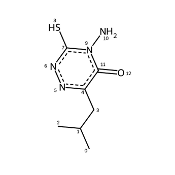 CC(C)Cc1nnc(S)n(N)c1=O